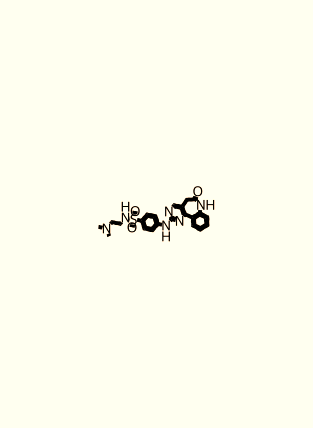 CN(C)CCNS(=O)(=O)c1ccc(Nc2ncc3c(n2)-c2ccccc2NC(=O)C3)cc1